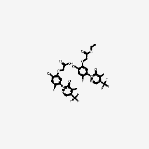 CCOC(=O)COc1cc(-n2ncc(C(F)(F)F)c(C)c2=O)c(F)cc1Cl.Cc1c(C(F)(F)F)cnn(-c2cc(OCC(=O)O)c(Cl)cc2F)c1=O